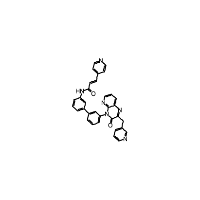 O=C(C=Cc1ccncc1)Nc1cccc(-c2cccc(-n3c(=O)c(Cc4cccnc4)nc4cccnc43)c2)c1